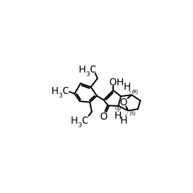 CCc1cc(C)cc(CC)c1C1=C(O)C2[C@H]3CC[C@H](O3)[C@H]2C1=O